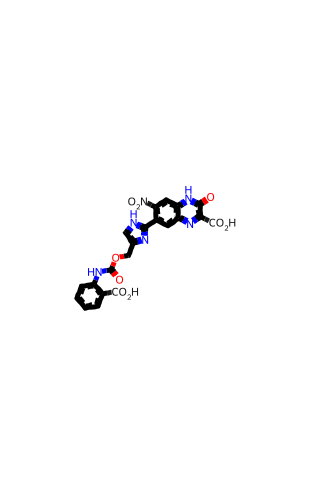 O=C(Nc1ccccc1C(=O)O)OCc1c[nH]c(-c2cc3nc(C(=O)O)c(=O)[nH]c3cc2[N+](=O)[O-])n1